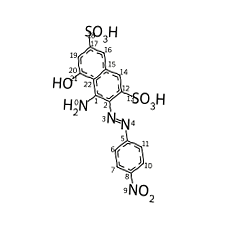 Nc1c(/N=N/c2ccc([N+](=O)[O-])cc2)c(S(=O)(=O)O)cc2cc(S(=O)(=O)O)cc(O)c12